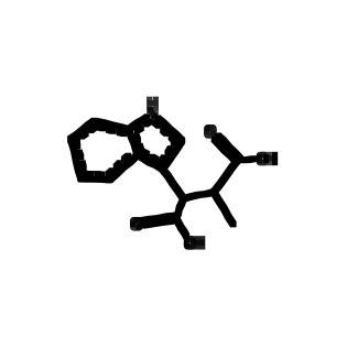 CC(C(=O)O)C(C(=O)O)c1c[nH]c2ccccc12